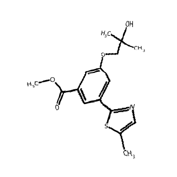 COC(=O)c1cc(OCC(C)(C)O)cc(-c2ncc(C)s2)c1